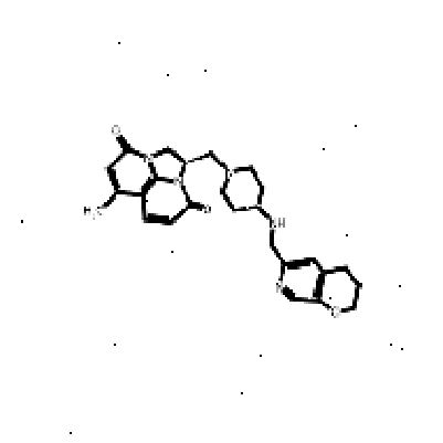 Cc1cc(=O)n2c3c1ccc(=O)n3[C@H](CN1CCC(NCc3cc4c(cn3)OCCC4)CC1)C2